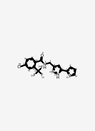 O=C(NCc1cc(-c2cccs2)[nH]n1)c1ccc(Cl)cc1C(F)(F)F